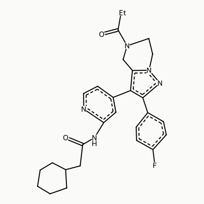 CCC(=O)N1CCn2nc(-c3ccc(F)cc3)c(-c3ccnc(NC(=O)CC4CCCCC4)c3)c2C1